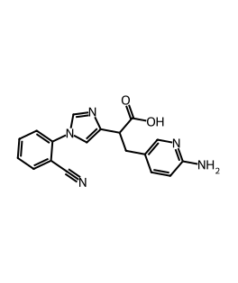 N#Cc1ccccc1-n1cnc(C(Cc2ccc(N)nc2)C(=O)O)c1